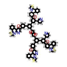 C1=C(c2ccccc2-c2nccs2)c2oc3c(-c4cccnc4)cc(-c4cc(-c5ccc6oc7c(-c8ccccc8-c8nccs8)cncc7c6c5)cc(-c5cc6oc(-c7cc(-c8ccc9oc%10c(-c%11ccccc%11-c%11nccs%11)cncc%10c9c8)cc(-c8cc(-c9cccnc9)c9oc%10c(-c%11ccccc%11-c%11nccs%11)cccc%10c9c8)c7)cc6o5)c4)cc3c2CC1